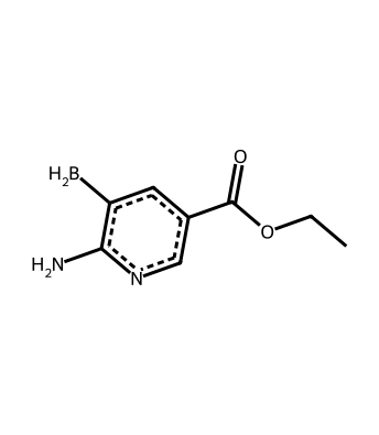 Bc1cc(C(=O)OCC)cnc1N